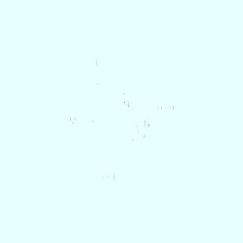 CCCCC1CN(c2ccc(F)cc2)c2cc(OC)c(CSCC(=O)OCC)cc2S(O)(O)N1C